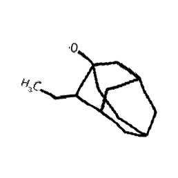 CCC1C2CC3CC(C2)CC1([O])C3